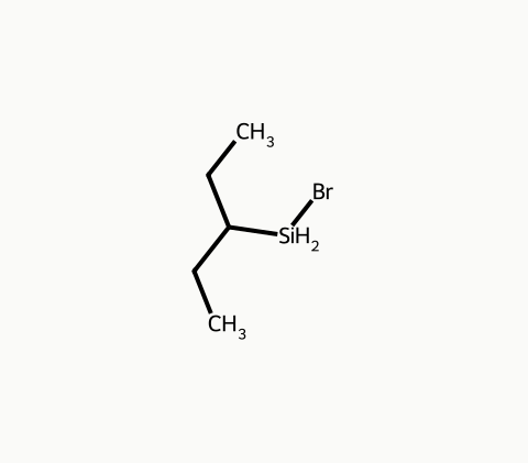 CCC(CC)[SiH2]Br